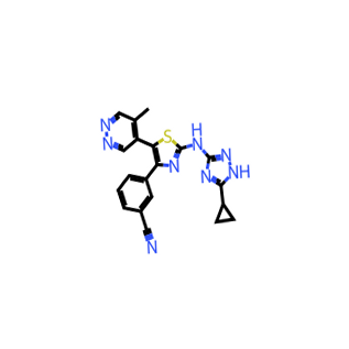 Cc1cnncc1-c1sc(Nc2n[nH]c(C3CC3)n2)nc1-c1cccc(C#N)c1